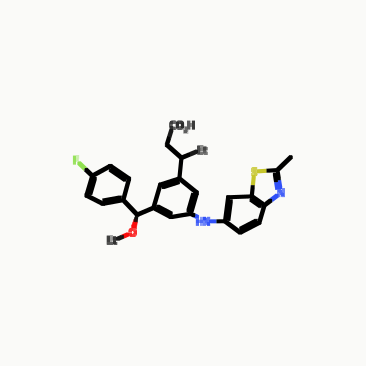 CCO[C@@H](c1ccc(F)cc1)c1cc(Nc2ccc3nc(C)sc3c2)cc(C(CC)CC(=O)O)c1